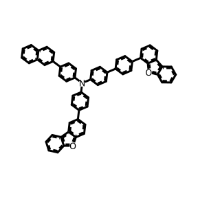 c1ccc2cc(-c3ccc(N(c4ccc(-c5ccc(-c6cccc7c6oc6ccccc67)cc5)cc4)c4ccc(-c5ccc6oc7ccccc7c6c5)cc4)cc3)ccc2c1